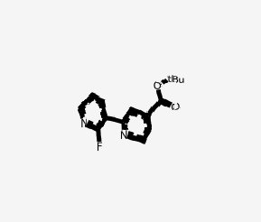 CC(C)(C)OC(=O)c1ccnc(-c2cccnc2F)c1